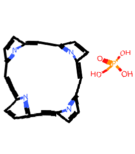 C1=CC2=NC1=CC1=NC(=CC3=NC(=CC4=NC(=C2)C=C4)C=C3)C=C1.O=P(O)(O)O